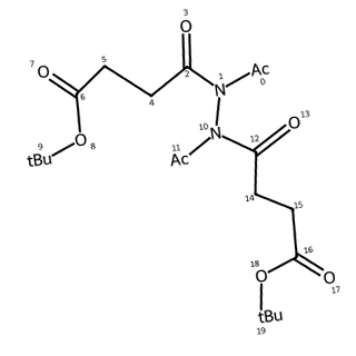 CC(=O)N(C(=O)CCC(=O)OC(C)(C)C)N(C(C)=O)C(=O)CCC(=O)OC(C)(C)C